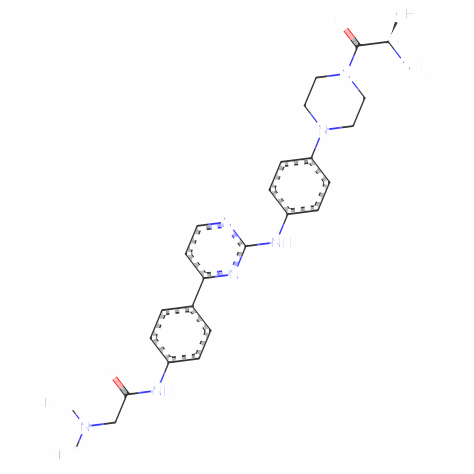 C[C@@H](N)C(=O)N1CCN(c2ccc(Nc3nccc(-c4ccc(NC(=O)CN(C)C)cc4)n3)cc2)CC1